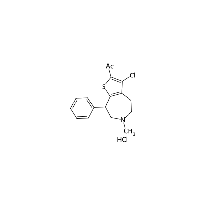 CC(=O)c1sc2c(c1Cl)CCN(C)CC2c1ccccc1.Cl